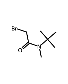 CN(C(=O)CBr)C(C)(C)C